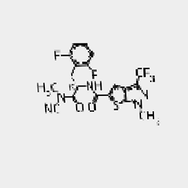 CN(C#N)C(=O)[C@H](Cc1c(F)cccc1F)NC(=O)c1cc2c(C(F)(F)F)nn(C)c2s1